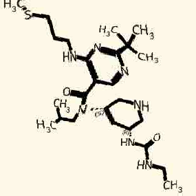 CCNC(=O)N[C@H]1CNC[C@@H](N(CC(C)C)C(=O)c2cnc(C(C)(C)C)nc2NCCCSC)C1